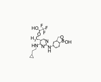 Cc1cnc(Nc2ccc3c(c2)COB3O)nc1NCCC1CC1.O=C(O)C(F)(F)F